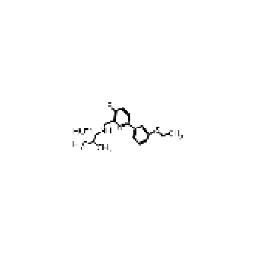 CCSc1cccc(-c2ccc(F)c(CN[C@@H](CO)C(C)C)n2)c1